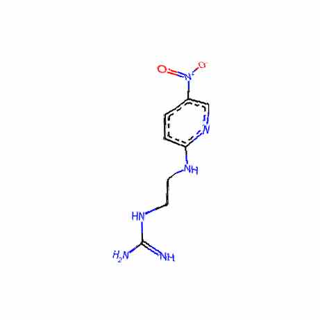 N=C(N)NCCNc1ccc([N+](=O)[O-])cn1